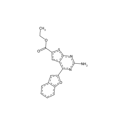 CCOC(=O)c1cc2c(-c3cc4ccccc4o3)nc(N)nc2s1